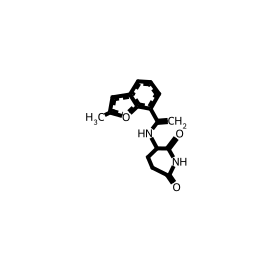 C=C(NC1CCC(=O)NC1=O)c1cccc2cc(C)oc12